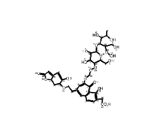 CC(O)C(O)C(OC1OC(CO)C(OOCOc2cc(CCOC3CC4OC(=O)C=C4C=C3O)cc3ccc(CC(=O)O)c(O)c3c2=O)C(O)C1O)C(CO)OO